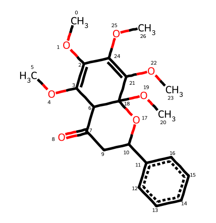 COC1=C(OC)C2C(=O)CC(c3ccccc3)OC2(OC)C(OC)=C1OC